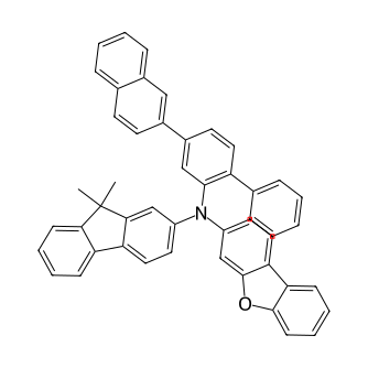 CC1(C)c2ccccc2-c2ccc(N(c3ccc4c(c3)oc3ccccc34)c3cc(-c4ccc5ccccc5c4)ccc3-c3ccccc3)cc21